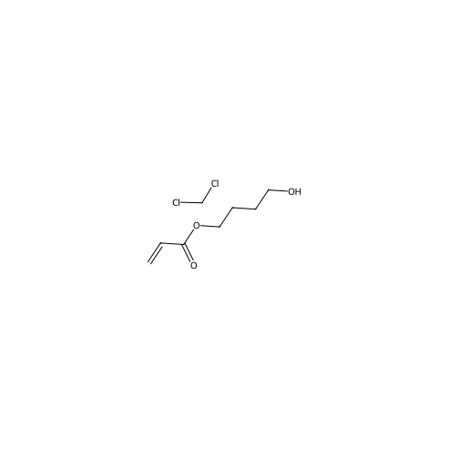 C=CC(=O)OCCCCO.ClCCl